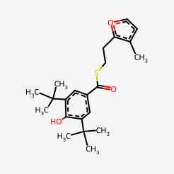 Cc1ccoc1CCSC(=O)c1cc(C(C)(C)C)c(O)c(C(C)(C)C)c1